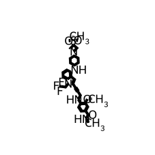 CNC(=O)c1ccc(NCC#Cc2cc3c(N[C@H]4CC[C@@H](N5CC(S(C)(=O)=O)C5)CC4)cccc3n2CC(F)(F)F)c(OC)c1